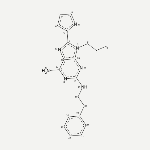 CCCn1c(-n2cccn2)nc2c(N)nc(NCCc3ccccc3)nc21